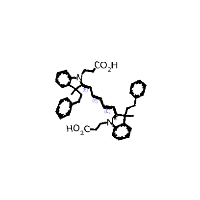 CC1(CCc2ccccc2)C(/C=C/C=C/C=C2/N(CCC(=O)O)c3ccccc3C2(C)CCc2ccccc2)=[N+](CCC(=O)O)c2ccccc21